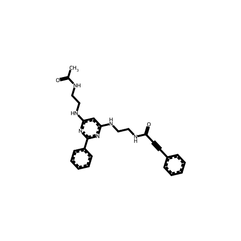 CC(=O)NCCNc1cc(NCCNC(=O)C#Cc2ccccc2)nc(-c2ccccc2)n1